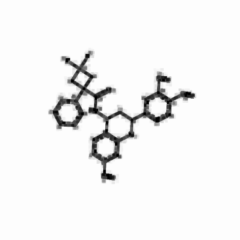 COc1ccc2c(c1)OC(c1ccc(OC)c(OC)c1)CC2NC(=O)C1(c2ccccc2)CC(F)(F)C1